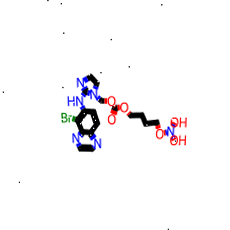 O=C(OCCCCON(O)O)OCN1CCN=C1Nc1ccc2nccnc2c1Br